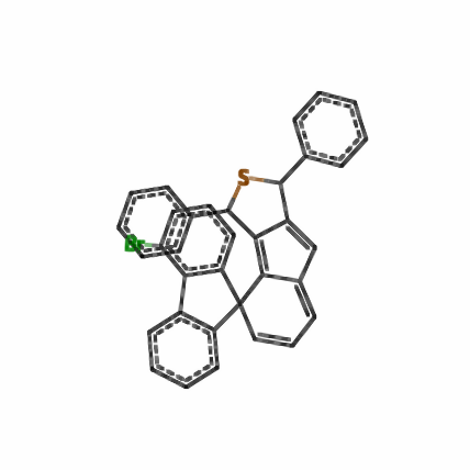 Brc1cccc2c1-c1ccccc1C21C=CC=C2C=C3C(=C21)C(c1ccccc1)SC3c1ccccc1